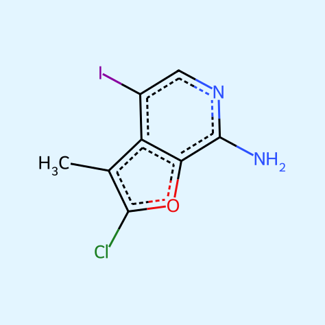 Cc1c(Cl)oc2c(N)ncc(I)c12